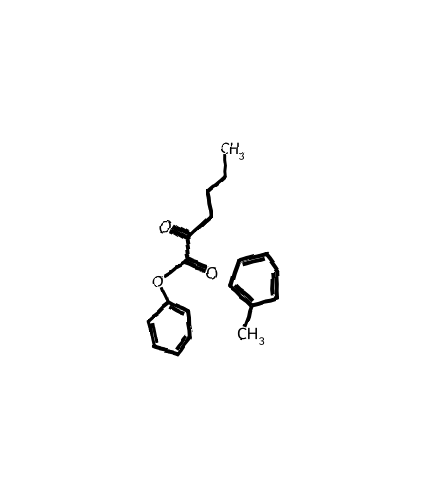 CCCCC(=O)C(=O)Oc1ccccc1.Cc1ccccc1